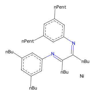 CCCCCc1cc(CCCCC)cc(N=C(CCCC)C(CCCC)=Nc2cc(CCCC)cc(CCCC)c2)c1.[Ni]